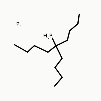 CCCCC(P)(CCCC)CCCC.[P]